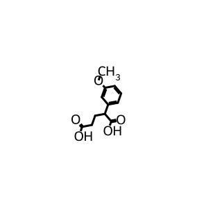 COc1cccc(C(CCC(=O)O)C(=O)O)c1